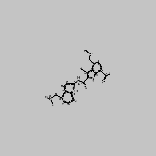 COCc1ccc(C(C)=O)c2sc(C(=O)Nc3ccc4c(CN(C)C)cccc4n3)c(C)c12